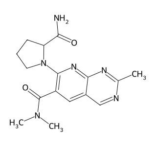 Cc1ncc2cc(C(=O)N(C)C)c(N3CCCC3C(N)=O)nc2n1